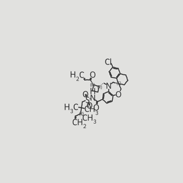 C=CC(=O)[C@@H]1CC[C@H]1CN1C[C@@]2(CCCc3cc(Cl)ccc32)COc2ccc(C(=O)NS(=O)(=O)CC(C)(C)[C@H](C)C=C)cc21